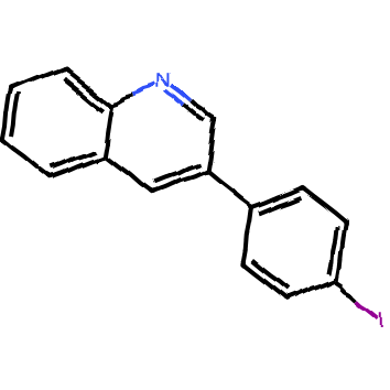 Ic1ccc(-c2cnc3ccccc3c2)cc1